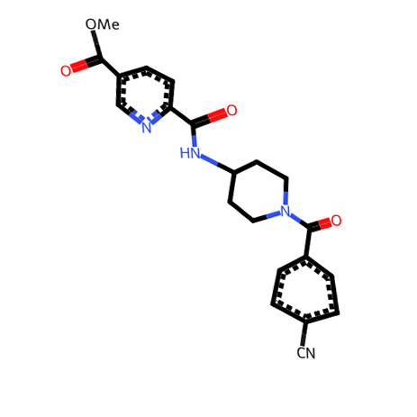 COC(=O)c1ccc(C(=O)NC2CCN(C(=O)c3ccc(C#N)cc3)CC2)nc1